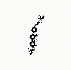 C=CC(=O)OCCCc1ccc(-c2ccc3c(oc4c(C)c(OC(=O)C=C)ccc43)c2F)cc1